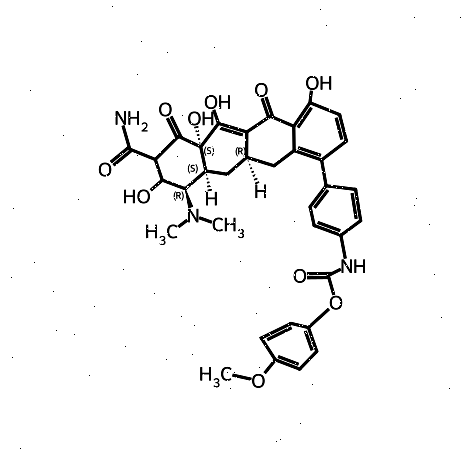 COc1ccc(OC(=O)Nc2ccc(-c3ccc(O)c4c3C[C@H]3C[C@H]5[C@@H](N(C)C)C(O)C(C(N)=O)C(=O)[C@@]5(O)C(O)=C3C4=O)cc2)cc1